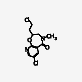 CN1CC(CCCl)Oc2ncc(Cl)cc2C1=O